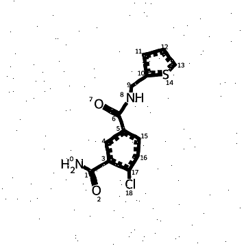 NC(=O)c1cc(C(=O)NCc2cccs2)ccc1Cl